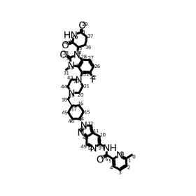 Cc1cccc(C(=O)Nc2cc3cn([C@H]4CC[C@H](CN5CCN(c6c(F)ccc7c6n(C)c(=O)n7C6CCC(=O)NC6=O)CC5)CC4)nc3cn2)n1